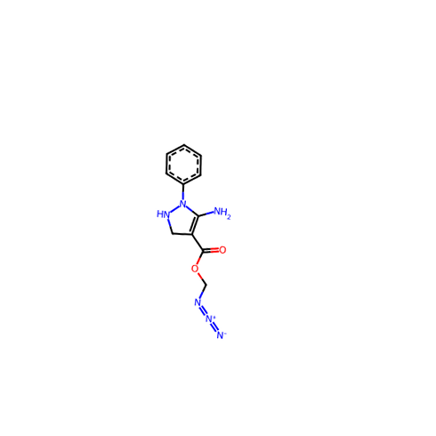 [N-]=[N+]=NCOC(=O)C1=C(N)N(c2ccccc2)NC1